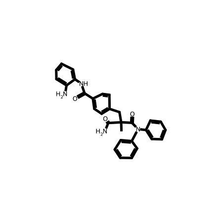 CC(Cc1ccc(C(=O)Nc2ccccc2N)cc1)(C(N)=O)C(=O)N(c1ccccc1)c1ccccc1